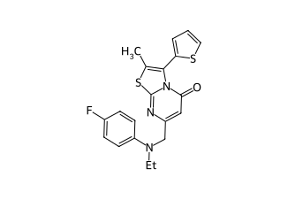 CCN(Cc1cc(=O)n2c(-c3cccs3)c(C)sc2n1)c1ccc(F)cc1